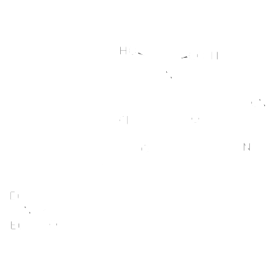 CCN(CC)C(=O)c1cccc(-c2cccc(COc3cc(OCc4cncc(C#N)c4)c(CN4C[C@@H](O)C[C@H]4C(=O)O)cc3Cl)c2C)c1C